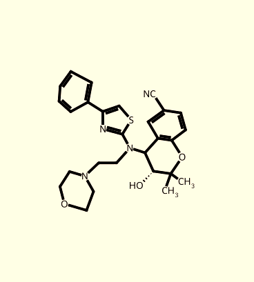 CC1(C)Oc2ccc(C#N)cc2C(N(CCN2CCOCC2)c2nc(-c3ccccc3)cs2)[C@H]1O